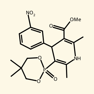 COC(=O)C1=C(C)NC(C)=C(P2(=O)OCC(C)(C)CO2)C1c1cccc([N+](=O)[O-])c1